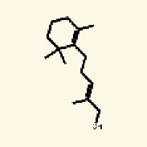 CC1=C(CC/C=C(\C)CO)C(C)(C)CCC1